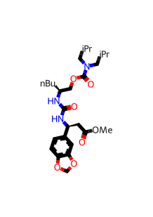 CCCC[C@@H](COC(=O)N(CC(C)C)CC(C)C)NC(=O)N[C@@H](CC(=O)OC)c1ccc2c(c1)OCO2